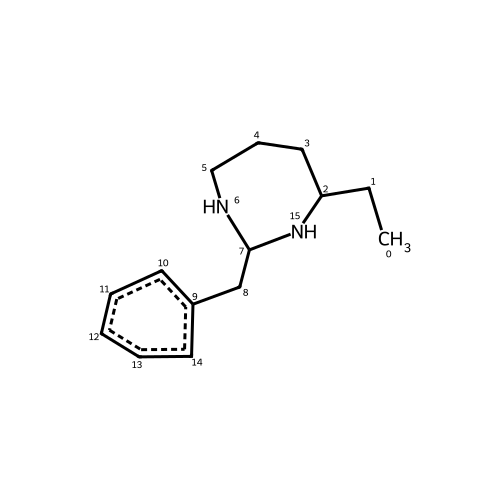 CCC1CCCNC(Cc2ccccc2)N1